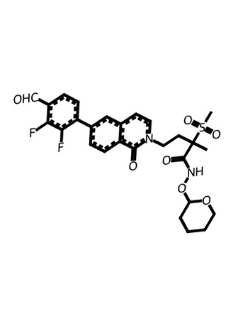 CC(CCn1ccc2cc(-c3ccc(C=O)c(F)c3F)ccc2c1=O)(C(=O)NOC1CCCCO1)S(C)(=O)=O